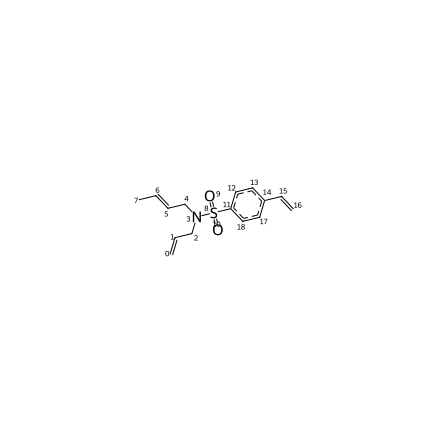 C=CCN(C/C=C/C)S(=O)(=O)c1ccc(C=C)cc1